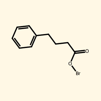 O=C(CCCc1ccccc1)OBr